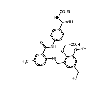 CCOC(=O)NC(=N)c1ccc(NC(=O)c2cc(C)ccc2NCc2cc(CO)cc(OC(C)C)c2OCC(=O)O)cc1